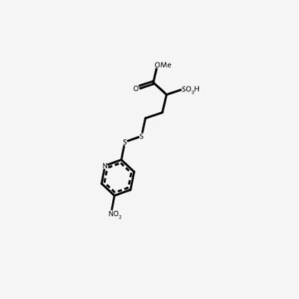 COC(=O)C(CCSSc1ccc([N+](=O)[O-])cn1)S(=O)(=O)O